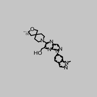 C[C@H]1CC2(CCN(c3nc4cnn(-c5ccc6cnn(C)c6c5)c4nc3CO)CC2)CO1